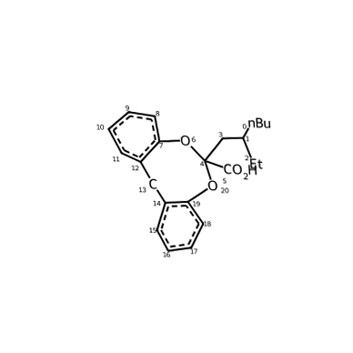 CCCCC(CC)CC1(C(=O)O)Oc2ccccc2Cc2ccccc2O1